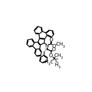 COC(=O)N(C1c2c(c3ccccc3c3ccccc23)-c2c1c1ccccc1c1ccccc21)[C@@H](Cc1ccccc1)C(=O)OC(C)(C)C